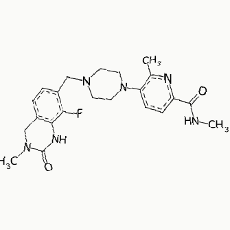 CNC(=O)c1ccc(N2CCN(Cc3ccc4c(c3F)NC(=O)N(C)C4)CC2)c(C)n1